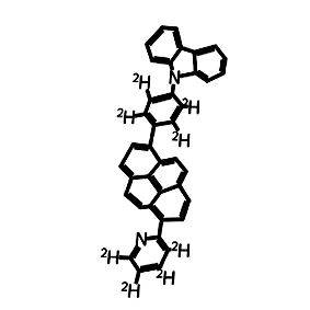 [2H]c1nc(-c2ccc3ccc4c(-c5c([2H])c([2H])c(-n6c7ccccc7c7ccccc76)c([2H])c5[2H])ccc5ccc2c3c54)c([2H])c([2H])c1[2H]